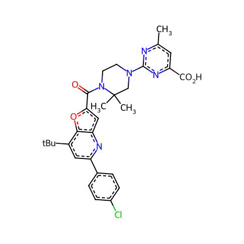 Cc1cc(C(=O)O)nc(N2CCN(C(=O)c3cc4nc(-c5ccc(Cl)cc5)cc(C(C)(C)C)c4o3)C(C)(C)C2)n1